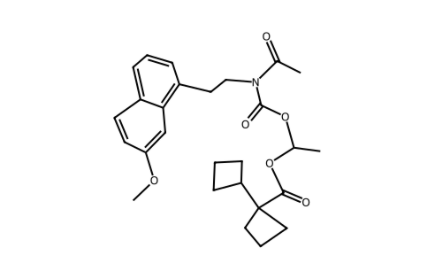 COc1ccc2cccc(CCN(C(C)=O)C(=O)OC(C)OC(=O)C3(C4CCC4)CCC3)c2c1